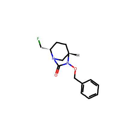 O=C1N2C[C@H](CC[C@H]2CF)N1OCc1ccccc1